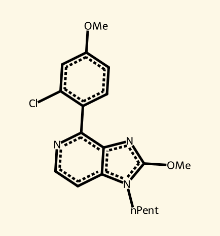 CCCCCn1c(OC)nc2c(-c3ccc(OC)cc3Cl)nccc21